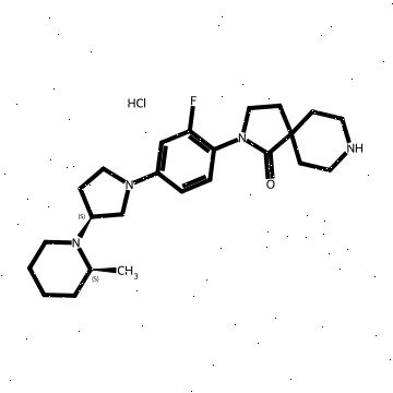 C[C@H]1CCCCN1[C@H]1CCN(c2ccc(N3CCC4(CCNCC4)C3=O)c(F)c2)C1.Cl